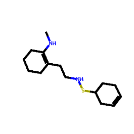 CNC1=C(CCNSC2CC=CCC2)CCCC1